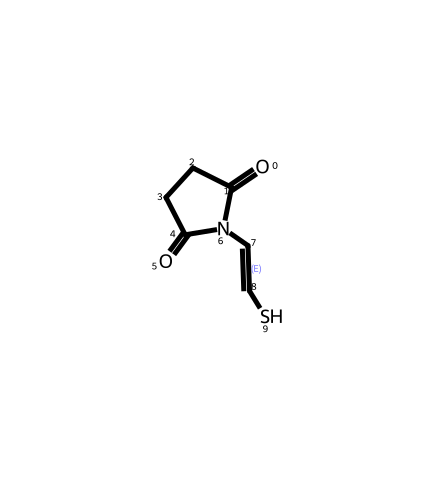 O=C1CCC(=O)N1/C=C/S